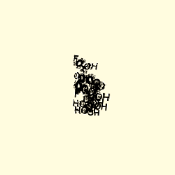 O=C1[C@H](CCC(O)c2ccc(F)cc2)[C@@H](c2ccc(OS(=O)(=O)CC3OC(CO)C(OC4OC(CO)C(O)C(O)C4O)C(O)C3O)cc2)N1c1ccc(F)cc1